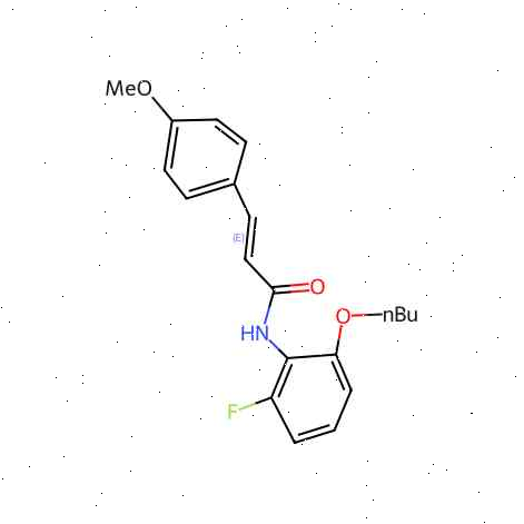 CCCCOc1cccc(F)c1NC(=O)/C=C/c1ccc(OC)cc1